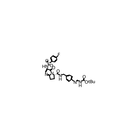 CC(C)(C)OC(=O)N/C=N/c1ccc(CNC(=O)[C@@H]2CCc3ncc(NS(=O)(=O)c4ccc(F)cc4)c(=O)n32)cc1